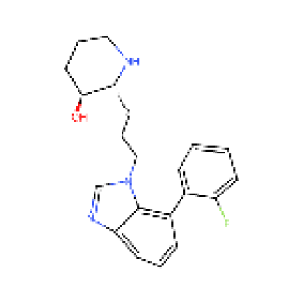 O[C@H]1CCCN[C@@H]1CCCn1cnc2cccc(-c3ccccc3F)c21